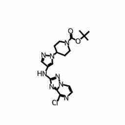 CC(C)(C)OC(=O)N1CCC(n2cc(Nc3nc4c(Cl)nccn4n3)cn2)CC1